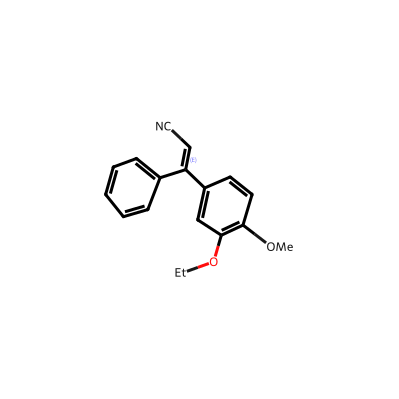 CCOc1cc(/C(=C/C#N)c2ccccc2)ccc1OC